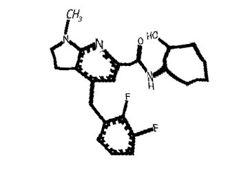 CN1CCc2c(Cc3cccc(F)c3F)cc(C(=O)NC3CCCCC3O)nc21